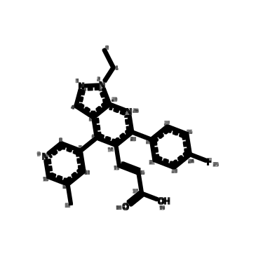 CCn1ncc2c(-c3cncc(C)c3)c(/C=C/C(=O)O)c(-c3ccc(F)cc3)nc21